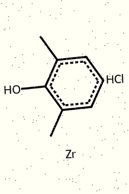 Cc1cccc(C)c1O.Cl.[Zr]